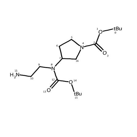 CC(C)(C)OC(=O)N1CCC(N(CCN)C(=O)OC(C)(C)C)C1